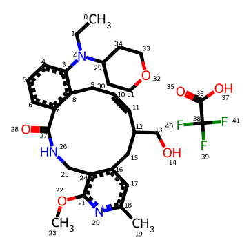 CCN(c1cccc2c1CC=CC(CO)Cc1cc(C)nc(OC)c1CNC2=O)C1CCOCC1.O=C(O)C(F)(F)F